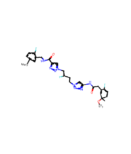 COc1ccc(F)c(CNC(=O)c2cn(CC(F)CCn3cc(NC(=O)CC4=CC(C)(OC(F)(F)F)CC=C4F)nn3)nn2)c1